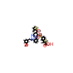 COc1cccc(CCNc2ccccc2N2CCCC(C(=O)c3sccc3C)CC2OS(=O)c2ccc3sc(C(=O)O)c(C)c3c2)c1